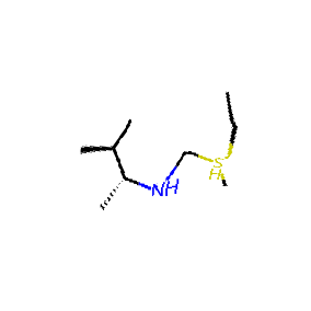 CC[SH](C)CN[C@H](C)C(C)C